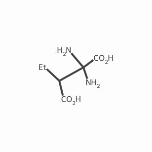 CCC(C(=O)O)C(N)(N)C(=O)O